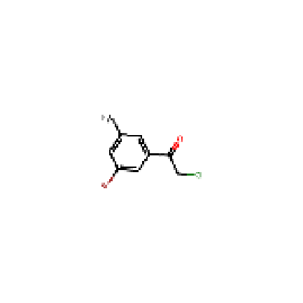 O=C(CCl)c1cc(Br)cc(C(F)(F)F)c1